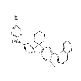 CC1(C)c2cc3c(cc2-c2c1ccc1ccccc21)C1(CCCCC1)c1cc(Nc2ccc([Si](C)(C)C)cc2)ccc1-3